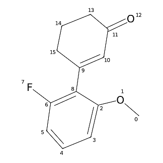 COc1cccc(F)c1C1=CC(=O)CCC1